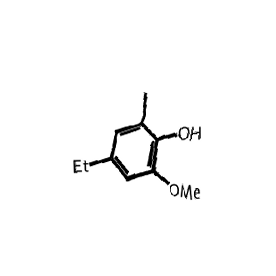 CCc1cc(C)c(O)c(OC)c1